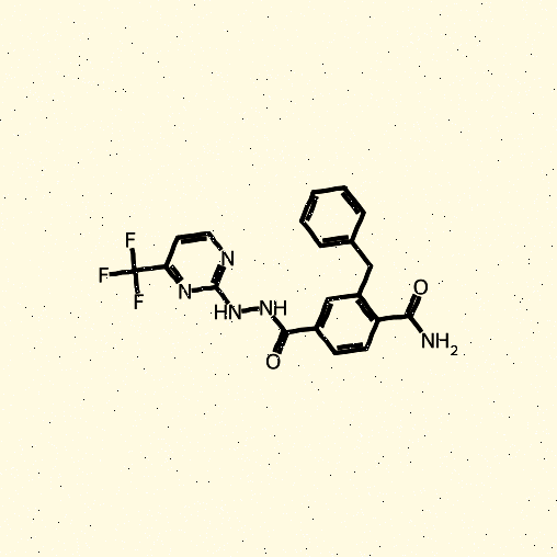 NC(=O)c1ccc(C(=O)NNc2nccc(C(F)(F)F)n2)cc1Cc1ccccc1